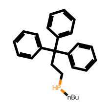 CCCCPCCC(c1ccccc1)(c1ccccc1)c1ccccc1